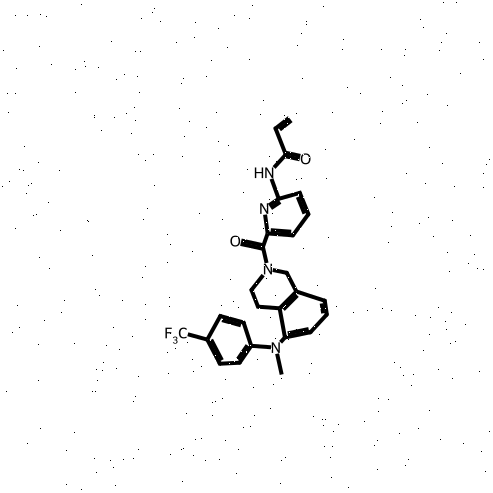 C=CC(=O)Nc1cccc(C(=O)N2CCc3c(cccc3N(C)c3ccc(C(F)(F)F)cc3)C2)n1